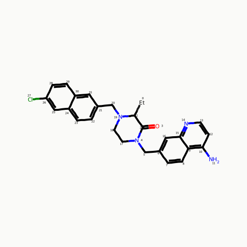 CCC1C(=O)N(Cc2ccc3c(N)ccnc3c2)CCN1Cc1ccc2cc(Cl)ccc2c1